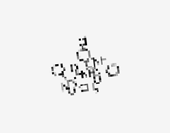 Cc1onc(-c2ccccc2)c1C(=O)Nc1c(C(=O)c2ccccc2)[nH]c2cc(Cl)ccc12